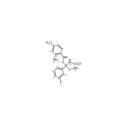 Cc1ccc(NCC(CO)(NC(=O)O)c2cccc(F)c2)c([N+](=O)[O-])c1